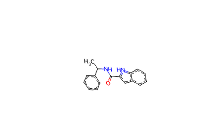 CC(NC(=O)c1cc2ccccc2[nH]1)c1ccccc1